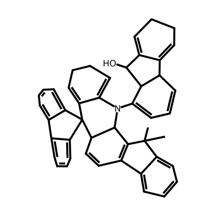 CC1(C)C2=C(C=CC3C2N(C2=CC=CC4C5=CCCC=C5C(O)C24)C2=CCCC=C2C32c3ccccc3-c3ccccc32)c2ccccc21